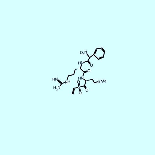 C=CS(=O)(=O)C(=O)[C@H](CCSC)NC(=O)[C@H](CCCNC(=N)N)NC(=O)C(c1ccccc1)[N+](=O)[O-]